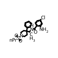 CCCS(=O)(=O)N1CCC(c2ccccc2)(C(C)NC(=O)c2ccc(Cl)cc2N)CC1